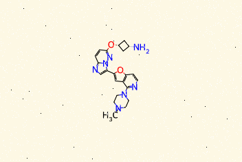 CN1CCN(c2nccc3oc(-c4cnc5ccc(O[C@H]6C[C@@H](N)C6)nn45)cc23)CC1